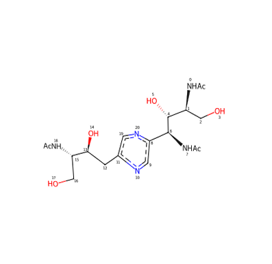 CC(=O)N[C@@H](CO)[C@@H](O)[C@@H](NC(C)=O)c1cnc(C[C@H](O)[C@H](CO)NC(C)=O)cn1